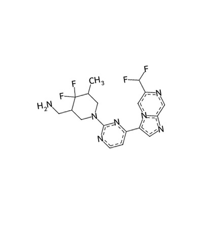 CC1CN(c2nccc(-c3cnc4cnc(C(F)F)cn34)n2)CC(CN)C1(F)F